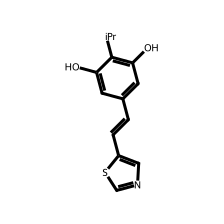 CC(C)c1c(O)cc(C=Cc2cncs2)cc1O